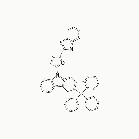 c1ccc(C2(c3ccccc3)c3ccccc3-c3cc4c(cc32)c2ccccc2n4-c2ccc(-c3nc4ccccc4s3)o2)cc1